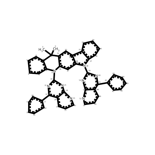 CC1(C)c2ccccc2N(c2nc(-c3ccccc3)c3cccnc3n2)c2cc3c(cc21)c1ccccc1n3-c1nc(-c2ccccc2)c2cccnc2n1